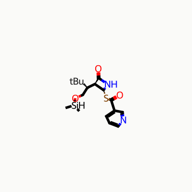 C[SiH](C)OC[C@H]([C@H]1C(=O)N[C@@H]1SC(=O)c1cccnc1)C(C)(C)C